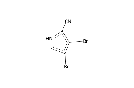 N#Cc1[nH]cc(Br)c1Br